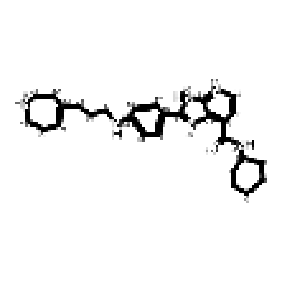 O=C(NC1CCCCC1)c1ccnc2[nH]c(-c3ccc(NCCCC4=CCCNCC4)cc3)nc12